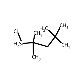 CC(C)(C)CC(C)(C)[SiH2]Cl